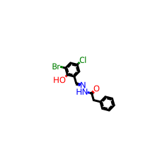 O=C(Cc1ccccc1)N/N=C/c1cc(Cl)cc(Br)c1O